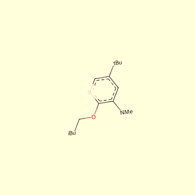 CCC(C)COc1bcc(C(C)(C)C)cc1NC